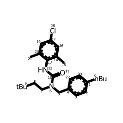 CCCCc1ccc(CN(CCC(C)(C)C)C(=O)Nc2c(C)cc(Cl)cc2C)cc1